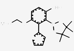 COCOc1ccc(C=O)c(B2OC(C)(C)C(C)(C)O2)c1-c1ccco1